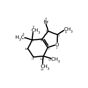 CC1OC2=C(C1Br)C(C)(C)CCC2(C)C